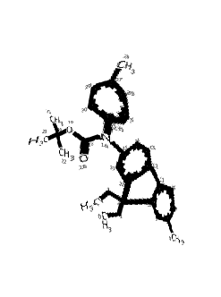 CCC1(CC)c2cc(C)ccc2-c2ccc(N(C(=O)OC(C)(C)C)c3ccc(C)cc3)cc21